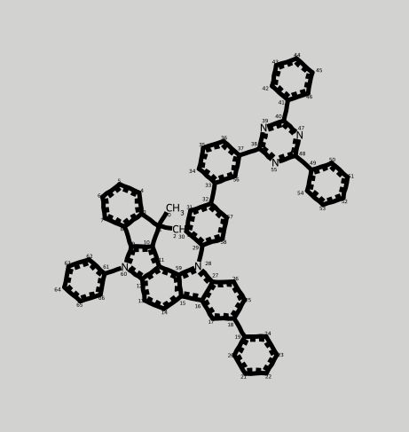 CC1(C)c2ccccc2-c2c1c1c(ccc3c4cc(-c5ccccc5)ccc4n(-c4ccc(-c5cccc(-c6nc(-c7ccccc7)nc(-c7ccccc7)n6)c5)cc4)c31)n2-c1ccccc1